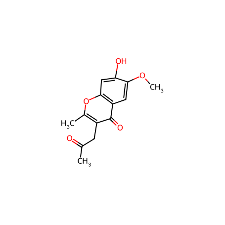 COc1cc2c(=O)c(CC(C)=O)c(C)oc2cc1O